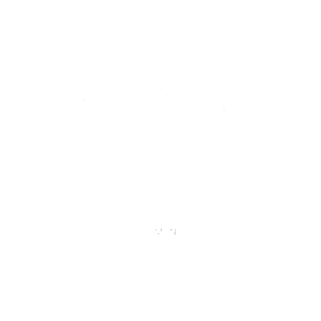 CCc1cc(Cl)c(OCc2c(CC(=O)NC)cccc2C(F)F)cc1C